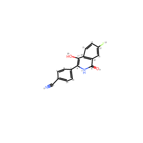 N#Cc1ccc(-c2[nH]c(=O)c3cc(F)ccc3c2O)cc1